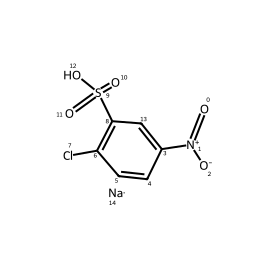 O=[N+]([O-])c1ccc(Cl)c(S(=O)(=O)O)c1.[Na]